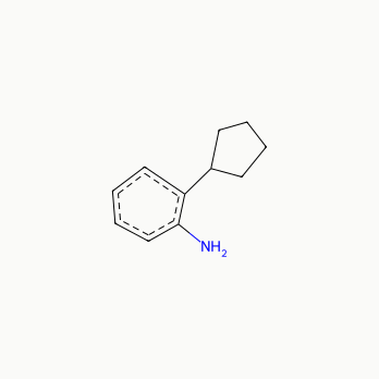 Nc1ccccc1C1CCCC1